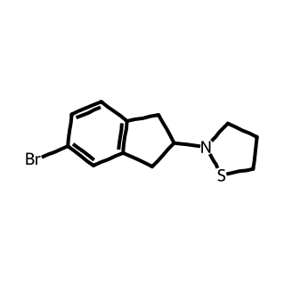 Brc1ccc2c(c1)CC(N1CCCS1)C2